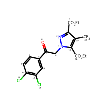 CCOC(=O)c1nn(CC(=O)c2ccc(Cl)c(Cl)c2)c(C(=O)OCC)c1C(F)(F)F